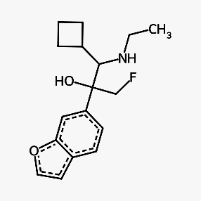 CCNC(C1CCC1)C(O)(CF)c1ccc2ccoc2c1